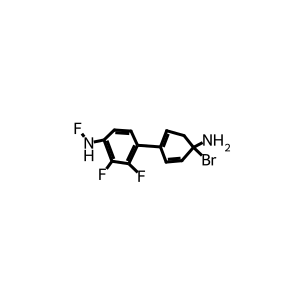 NC1(Br)C=CC(c2ccc(NF)c(F)c2F)=CC1